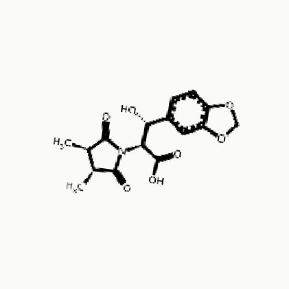 C[C@@H]1C(=O)N([C@H](C(=O)O)[C@H](O)c2ccc3c(c2)OCO3)C(=O)[C@@H]1C